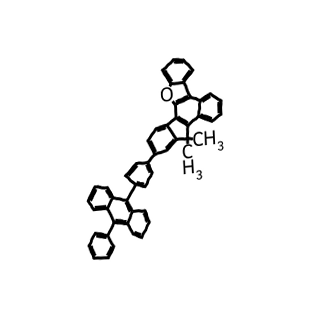 CC1(C)c2cc(-c3ccc(-c4c5ccccc5c(-c5ccccc5)c5ccccc45)cc3)ccc2-c2c1c1ccccc1c1c2oc2ccccc21